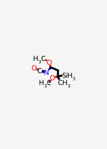 COC(CC(C)([SiH3])OC)N=C=O